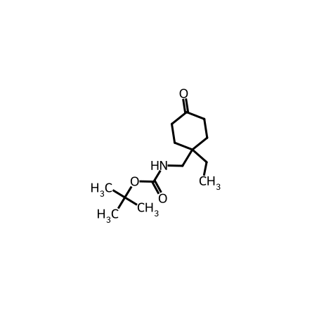 CCC1(CNC(=O)OC(C)(C)C)CCC(=O)CC1